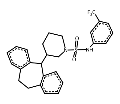 O=S(=O)(Nc1cccc(C(F)(F)F)c1)N1CCCC(C2c3ccccc3CCc3ccccc32)C1